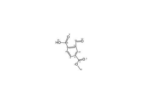 COC(=O)c1ccc(C(=O)O)c(C=O)c1